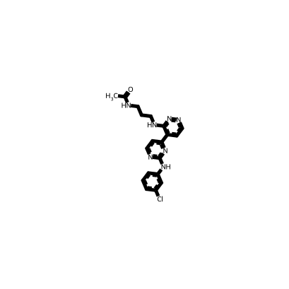 CC(=O)NCCCNc1nnccc1-c1ccnc(Nc2cccc(Cl)c2)n1